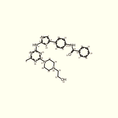 Cc1nc(Nc2ncc(-c3ccc(NC(=O)c4ccccc4)cc3)s2)nc(N2CCN(CCO)CC2)n1